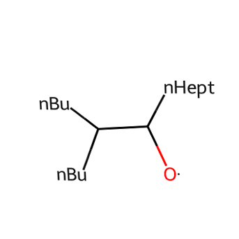 CCCCCCCC([O])C(CCCC)CCCC